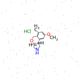 COc1cc(C)c2c(c1)[C@@H]1CNC[C@@H]1OC2.Cl